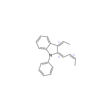 C\C=C/C=c1\c(=C/C)c2ccccc2n1-c1ccccc1